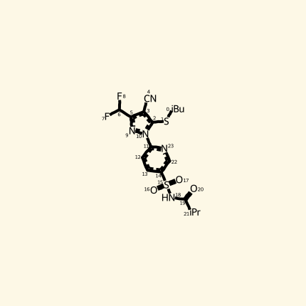 CCC(C)Sc1c(C#N)c(C(F)F)nn1-c1ccc(S(=O)(=O)NC(=O)C(C)C)cn1